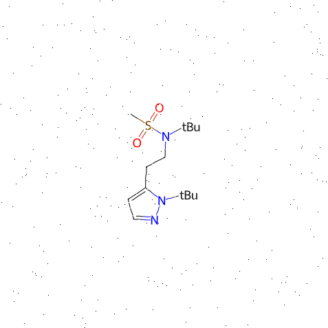 CC(C)(C)N(CCc1ccnn1C(C)(C)C)S(C)(=O)=O